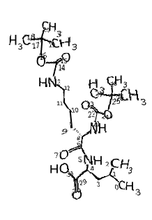 CC(C)C[C@H](NC(=O)[C@H](CCCCNC(=O)OC(C)(C)C)NC(=O)OC(C)(C)C)C(=O)O